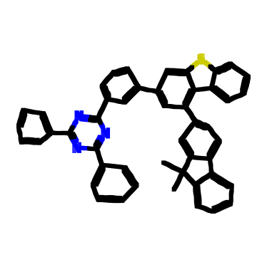 CC1(C)c2ccccc2-c2ccc(-c3cc(-c4cccc(-c5nc(-c6ccccc6)nc(-c6ccccc6)n5)c4)cc4sc5ccccc5c34)cc21